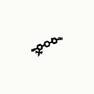 N#Cc1ccc(N2CCC(c3ccc(O)cn3)CC2)cc1C(F)(F)F